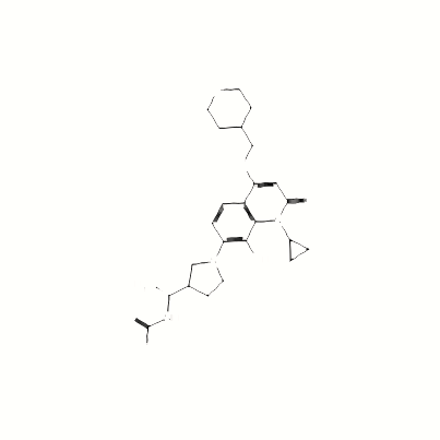 Cc1c(N2CCC([C@H](C)NC(=O)O)C2)ccc2c(OCC3CCOCC3)cc(=O)n(C3CC3)c12